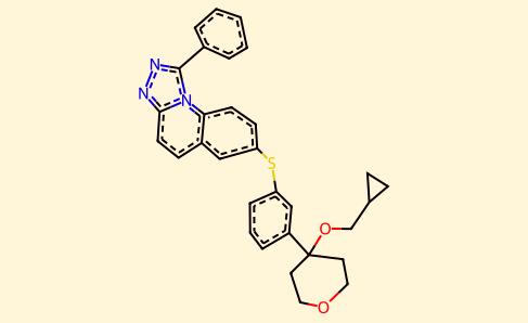 c1ccc(-c2nnc3ccc4cc(Sc5cccc(C6(OCC7CC7)CCOCC6)c5)ccc4n23)cc1